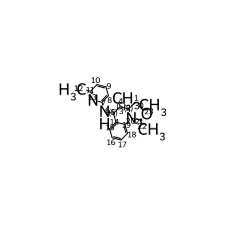 CC[C@@H]1[C@@H](C)[C@H](Nc2cccc(C)n2)c2ccccc2N1C(C)=O